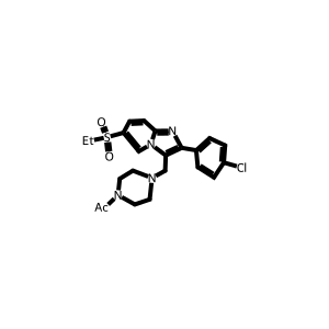 CCS(=O)(=O)c1ccc2nc(-c3ccc(Cl)cc3)c(CN3CCN(C(C)=O)CC3)n2c1